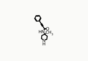 CC1(NC(=O)C#Cc2ccccc2)CCNCC1